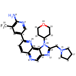 Nc1ncc(-c2ccc3ncc4nc(CN5CCCC5)n(C5CCOCC5)c4c3n2)cc1C(F)(F)F